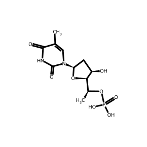 Cc1cn([C@H]2C[C@@H](O)[C@@H]([C@H](C)OP(=O)(O)O)O2)c(=O)[nH]c1=O